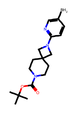 Bc1ccc(N2CC3(CCN(C(=O)OC(C)(C)C)CC3)C2)nc1